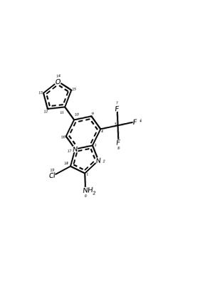 Nc1nc2c(C(F)(F)F)cc(-c3ccoc3)cn2c1Cl